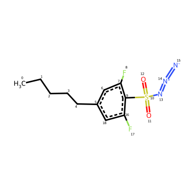 CCCCCc1cc(F)c(S(=O)(=O)N=[N+]=[N-])c(F)c1